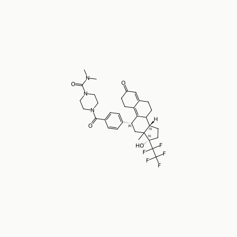 CN(C)C(=O)N1CCN(C(=O)c2ccc([C@H]3CC4(C)[C@@H](CC[C@@]4(O)C(F)(F)C(F)(F)F)C4CCC5=CC(=O)CCC5=C43)cc2)CC1